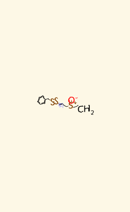 C=CC[S+]([O-])C/C=C/SSCc1ccccc1